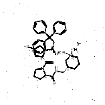 CCCCCCCC[N@@+]1(C)CCC[C@H](CNC(=O)[C@H]2CCCN2C(=O)[C@@H]2C[C@@H](O)CN2C(=O)CC(c2ccccc2)(c2ccccc2)c2ccccc2)C1.[Br-]